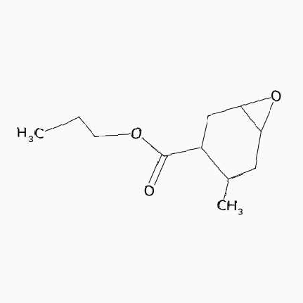 CCCOC(=O)C1CC2OC2CC1C